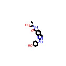 CC[C@@H](CO)NC(=O)c1ccc2cnc(N[C@H]3CC[C@H](O)CC3)nc2c1